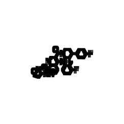 CCc1c(S(=O)(=O)Nc2ccon2)ncc(C(=O)N2CCC(c3ccc(F)cc3)CC2)c1Nc1cccc(F)c1C